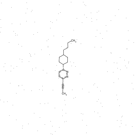 CC#Cc1ccc(C2CCC(CCCC)CC2)nn1